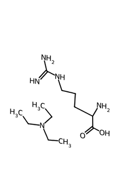 CCN(CC)CC.N=C(N)NCCCC(N)C(=O)O